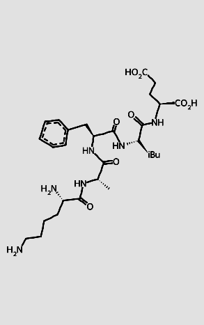 CC[C@H](C)[C@H](NC(=O)[C@H](Cc1ccccc1)NC(=O)[C@H](C)NC(=O)[C@@H](N)CCCCN)C(=O)N[C@@H](CCC(=O)O)C(=O)O